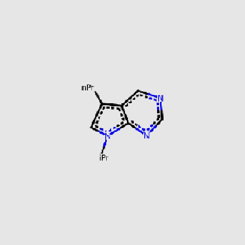 CCCc1cn(C(C)C)c2ncncc12